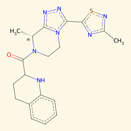 Cc1nsc(-c2nnc3n2CCN(C(=O)C2CCc4ccccc4N2)[C@@H]3C)n1